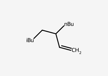 [CH2]CC(C)CC(C=C)CCCC